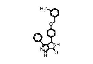 Nc1cccc(COc2ccc(C3NC(=O)c4[nH]nc(-c5ccccc5)c43)cc2)c1